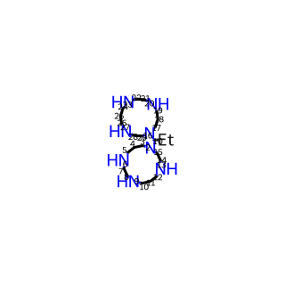 CCC(N1CCCNCCNCCCNCC1)N1CCCNCCNCCCNCC1